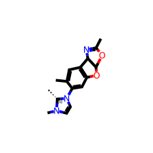 CC1=NC2c3cc(C)c(N4C=CN(C)[C@@H]4C)cc3OC2O1